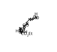 CCOC(=O)c1c(C)nc(Nc2cnn(C)c2)nc1NC1CCC(N2CCN(C(=O)CCC(=O)N3CCC(CCCN4CCN(c5ccc(C6CCC(=O)NC6=O)cc5)CC4)CC3)CC2)CC1